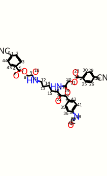 N#Cc1ccc(C(=O)OCC(=O)NCCCCC(NC(=O)COC(=O)c2ccc(C#N)cc2)C(=O)Cc2ccc(N=C=O)cc2)cc1